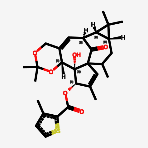 CC1=CC23C(=O)[C@@H](C=C4COC(C)(C)O[C@H]4[C@]2(O)[C@H]1OC(=O)c1sccc1C)[C@H]1[C@@H](CC3C)C1(C)C